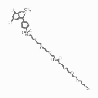 CCOCCOCCOCCOCCC(=O)NCCOCCOCCOCCNS(=O)(=O)c1ccc(C2CN(C)Cc3c(Cl)cc(Cl)cc32)cc1